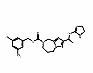 CC(NC1=NCCN1)c1cc2n(n1)CCCN(C(=O)OCc1cc(Cl)cc(C(F)(F)F)c1)C2